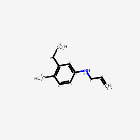 C=CCNc1ccc(C(=O)O)c(CC(=O)O)c1